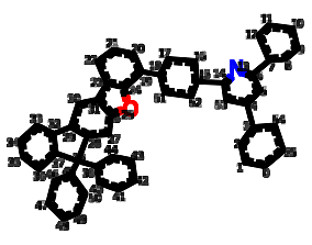 c1ccc(-c2cc(-c3ccccc3)nc(-c3ccc(-c4cccc5c4oc4cc6c(cc45)-c4ccccc4C6(c4ccccc4)c4ccccc4)cc3)c2)cc1